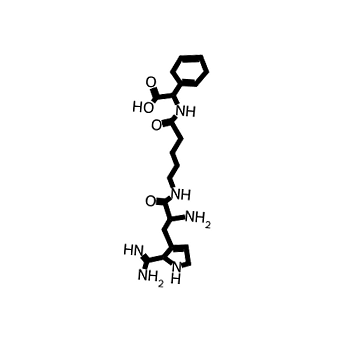 N=C(N)C1NCC=C1CC(N)C(=O)NCCCCC(=O)NC(C(=O)O)C1=CCC=CC1